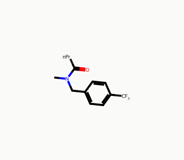 CCCC(=O)N(C)Cc1ccc(C(F)(F)F)cc1